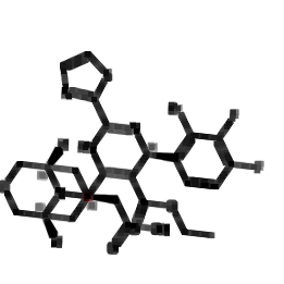 CCOC(=O)C1=C(CN2[C@@H]3COC[C@H]2C[C@H](CC(=O)O)C3)NC(c2nccs2)=N[C@H]1c1ccc(F)c(F)c1Br